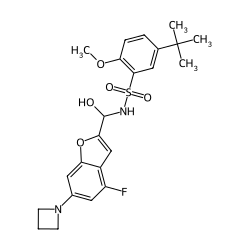 COc1ccc(C(C)(C)C)cc1S(=O)(=O)NC(O)c1cc2c(F)cc(N3CCC3)cc2o1